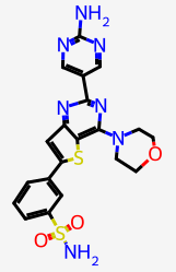 Nc1ncc(-c2nc(N3CCOCC3)c3sc(-c4cccc(S(N)(=O)=O)c4)cc3n2)cn1